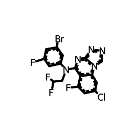 Fc1cc(Br)cc(N(CC(F)F)c2nc3nncn3c3cc(Cl)cc(F)c23)c1